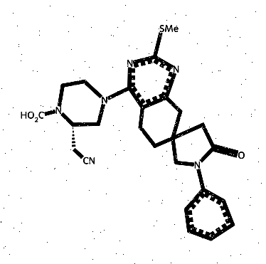 CSc1nc2c(c(N3CCN(C(=O)O)[C@@H](CC#N)C3)n1)CCC1(CC(=O)N(c3ccccc3)C1)C2